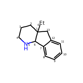 CCC12CCCNC1c1ccccc1C2